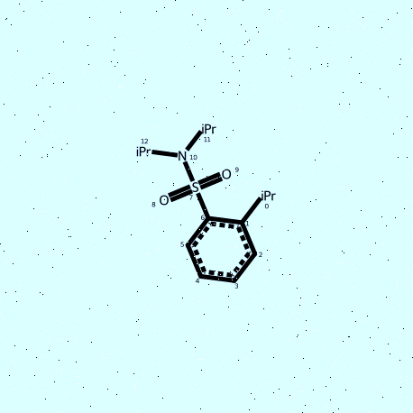 CC(C)c1ccccc1S(=O)(=O)N(C(C)C)C(C)C